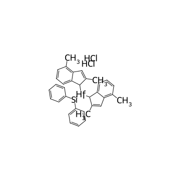 CC1=Cc2c(C)cccc2[CH]1[Hf]([CH]1C(C)=Cc2c(C)cccc21)=[Si](c1ccccc1)c1ccccc1.Cl.Cl